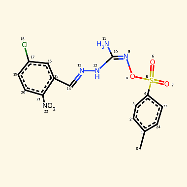 Cc1ccc(S(=O)(=O)ON=C(N)NN=Cc2cc(Cl)ccc2[N+](=O)[O-])cc1